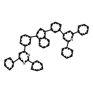 c1ccc(-c2cc(-c3cccc(-c4ccc(-c5cccc(-c6cc(-c7ccccc7)nc(-c7ccccc7)n6)c5)c5ccccc45)c3)cc(-c3ccccc3)n2)cc1